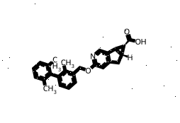 Cc1cccc(C)c1-c1cccc(COc2cc3c(cn2)C2[C@@H](C3)[C@@H]2C(=O)O)c1C